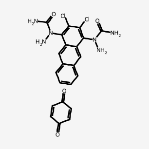 NC(=O)N(N)c1c(Cl)c(Cl)c(N(N)C(N)=O)c2cc3ccccc3cc12.O=C1C=CC(=O)C=C1